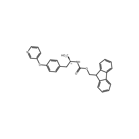 O=C(N[C@@H](Cc1ccc(Oc2cccnc2)cc1)C(=O)O)OCC1c2ccccc2-c2ccccc21